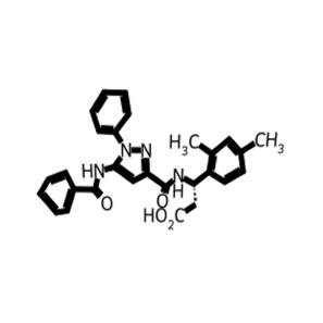 Cc1ccc([C@H](CC(=O)O)NC(=O)c2cc(NC(=O)c3ccccc3)n(-c3ccccc3)n2)c(C)c1